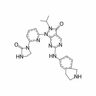 CC(C)n1c(=O)c2cnc(Nc3ccc4c(c3)CCNC4)nc2n1-c1cccc(N2CCNC2=O)n1